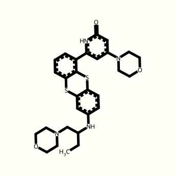 CCC(CN1CCOCC1)Nc1ccc2c(c1)Sc1cccc(-c3cc(N4CCOCC4)cc(=O)[nH]3)c1S2